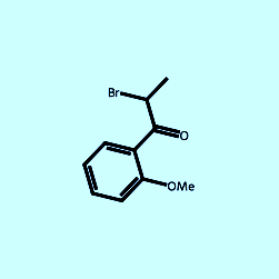 COc1ccccc1C(=O)C(C)Br